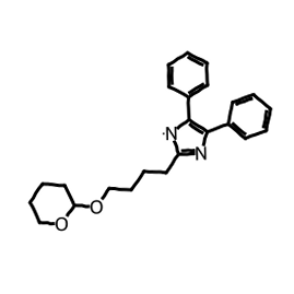 c1ccc(C2=C(c3ccccc3)N=C(CCCCOC3CCCCO3)[N]2)cc1